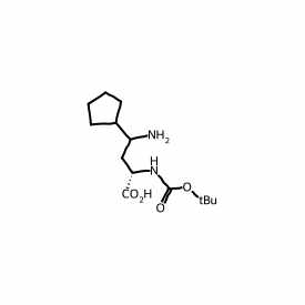 CC(C)(C)OC(=O)N[C@@H](CC(N)C1CCCC1)C(=O)O